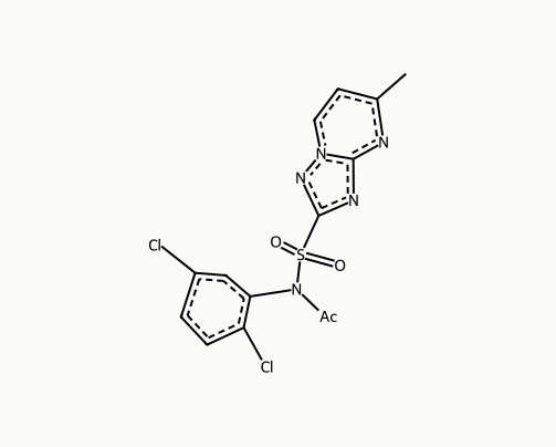 CC(=O)N(c1cc(Cl)ccc1Cl)S(=O)(=O)c1nc2nc(C)ccn2n1